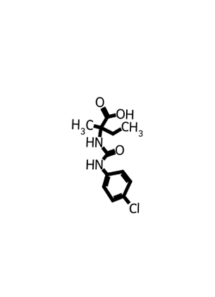 CCC(C)(NC(=O)Nc1ccc(Cl)cc1)C(=O)O